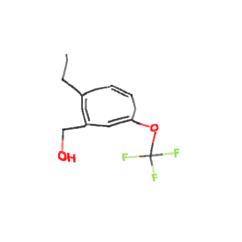 CCc1ccc(OC(F)(F)F)cc1CO